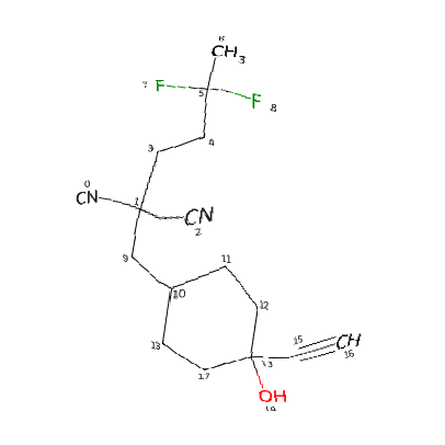 [C-]#[N+]C(C#N)(CCC(C)(F)F)CC1CCC(O)(C#C)CC1